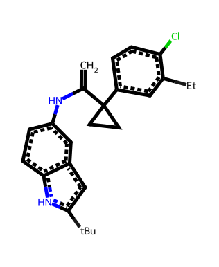 C=C(Nc1ccc2[nH]c(C(C)(C)C)cc2c1)C1(c2ccc(Cl)c(CC)c2)CC1